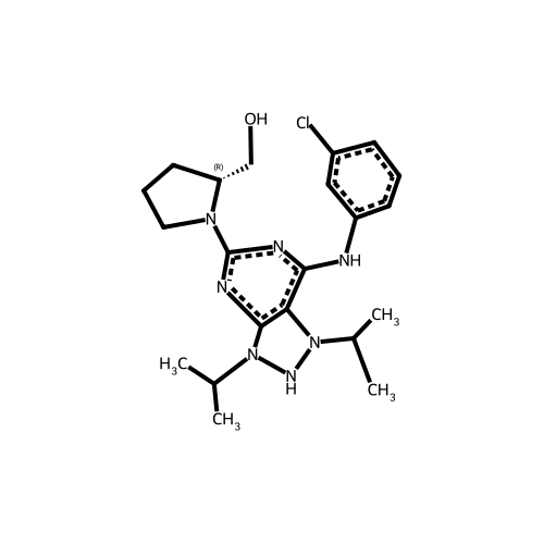 CC(C)N1NN(C(C)C)c2c(Nc3cccc(Cl)c3)nc(N3CCC[C@@H]3CO)nc21